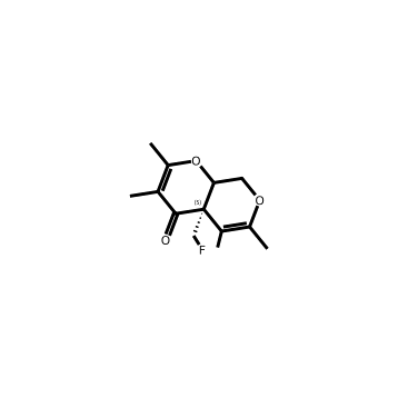 CC1=C(C)C(=O)[C@]2(CF)C(C)=C(C)OCC2O1